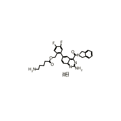 Cl.Cl.NCCCCC(=O)OCc1cc(F)c(F)cc1-c1ccc2nc(N)nc(C(=O)N3Cc4ccccc4C3)c2c1